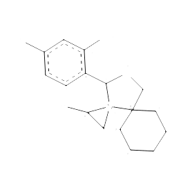 Clc1ccc(C2OCC3(CCCCC3)[N+]23CC3Br)c(Cl)c1.[Br-]